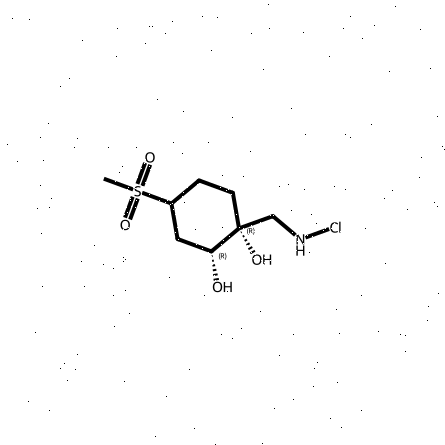 CS(=O)(=O)C1CC[C@@](O)(CNCl)[C@H](O)C1